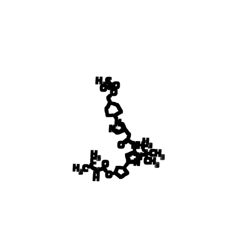 CC(C)NC(=O)O[C@@H]1CC[C@H](c2cc(NC(=O)Cc3cnn(C4CCC(COS(C)(=O)=O)CC4)c3)n(C(C)(C)C)n2)C1